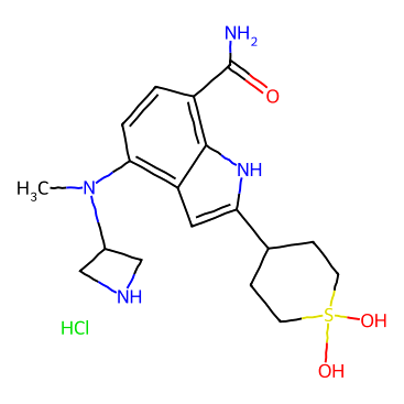 CN(c1ccc(C(N)=O)c2[nH]c(C3CCS(O)(O)CC3)cc12)C1CNC1.Cl